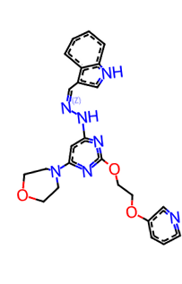 C(=N/Nc1cc(N2CCOCC2)nc(OCCOc2cccnc2)n1)/c1c[nH]c2ccccc12